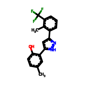 Cc1ccc(O)c(-c2cc(-c3cccc(C(F)(F)F)c3C)n[nH]2)c1